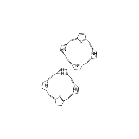 C1=Cc2cc3ccc(cc4nc(cc5ccc(cc1n2)[nH]5)CC4)[nH]3.c1c2nc(cc3ccc(cc4ccc(cc5nc1CC5)[nH]4)[nH]3)CC2